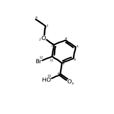 CCOc1cccc(C(=O)O)c1Br